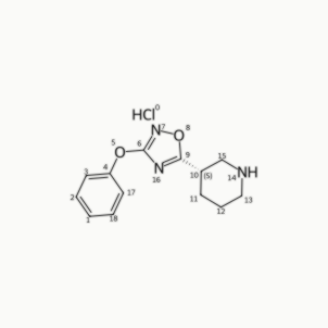 Cl.c1ccc(Oc2noc([C@H]3CCCNC3)n2)cc1